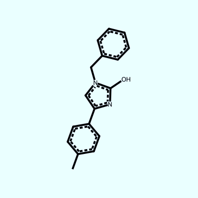 Cc1ccc(-c2cn(Cc3ccccc3)c(O)n2)cc1